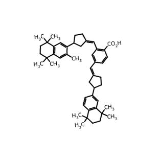 Cc1cc2c(cc1C1CCC(=Cc3cc(C=C4CCC(c5ccc6c(c5)C(C)(C)CCC6(C)C)C4)ccc3C(=O)O)C1)C(C)(C)CCC2(C)C